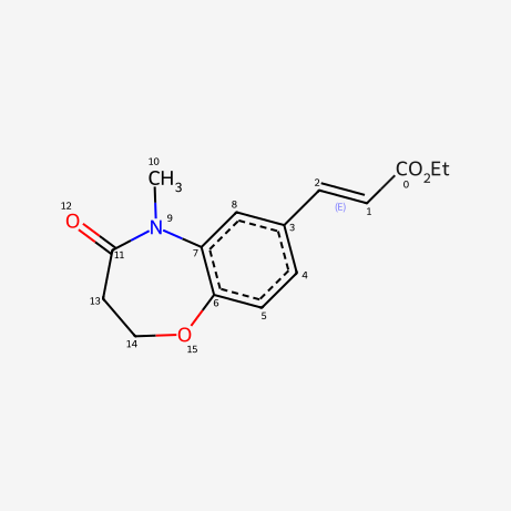 CCOC(=O)/C=C/c1ccc2c(c1)N(C)C(=O)CCO2